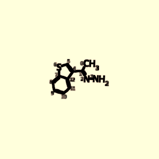 CC(=NN)c1csc2ccccc12